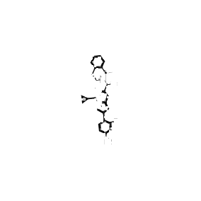 C[C@@H]1c2ccccc2CCN1C(=O)c1cc2cc(-c3ccc(Br)cc3F)cn2c(C2CC2)n1